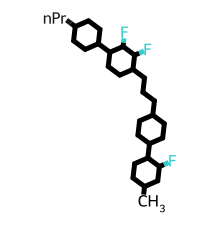 CCCC1CCC(C2CCC(CCCC3CCC(C4CCC(C)CC4F)CC3)C(F)C2F)CC1